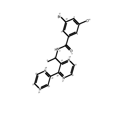 CC(NC(=O)c1cc(Cl)cc(Br)c1)c1nccnc1-c1cnccn1